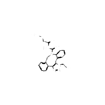 CCCCSCC(=O)BC(=O)N1Cc2ccccc2-c2nnn(CC(C)C)c2-c2ccccc21